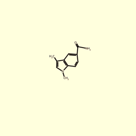 Cc1cn(C)c2ccc(C(N)=O)cc12